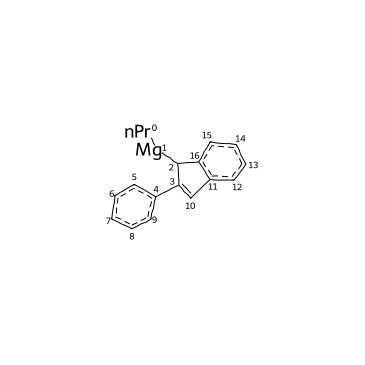 [CH2]C[CH2][Mg][CH]1C(c2ccccc2)=Cc2ccccc21